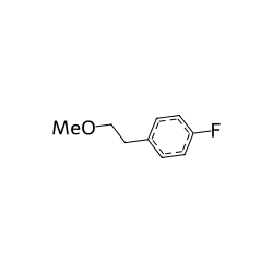 [CH2-][OH+]CCc1ccc(F)cc1